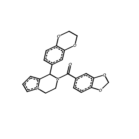 O=C(c1ccc2c(c1)OCO2)N1CCn2cccc2C1c1ccc2c(c1)OCCO2